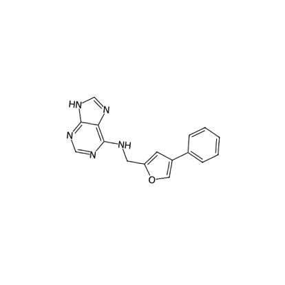 c1ccc(-c2coc(CNc3ncnc4[nH]cnc34)c2)cc1